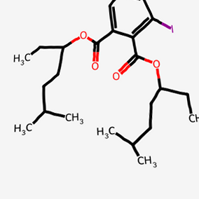 CCC(CCC(C)C)OC(=O)c1cccc(I)c1C(=O)OC(CC)CCC(C)C